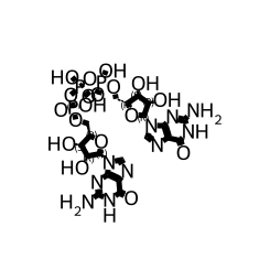 Nc1nc2c(ncn2[C@@H]2O[C@H](COP(=O)(O)OP(=O)(O)OP(=O)(O)OC[C@H]3O[C@@H](n4cnc5c(=O)[nH]c(N)nc54)[C@H](O)[C@@H]3O)[C@@H](O)[C@H]2O)c(=O)[nH]1